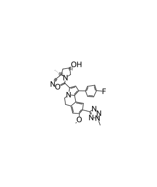 COc1cc2c(cc1-c1nnn(C)n1)-c1c(-c3ccc(F)cc3)cc(C(=O)N3C[C@@H](O)C[C@]3(C)C#N)n1CC2